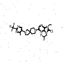 CCn1c(=O)n(CC(F)F)c2nc(N3CCC4(CC3)CCN(c3cnc(C(F)(F)F)nc3C)C4)cnc21